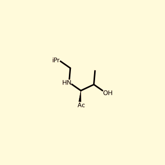 CC(=O)[C@@H](NCC(C)C)C(C)O